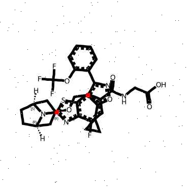 O=C(O)CNC(=O)c1cc(F)c2nc(N3[C@@H]4CC[C@H]3C[C@@H](OCc3c(-c5ccccc5OC(F)(F)F)noc3C3CC3)C4)sc2c1